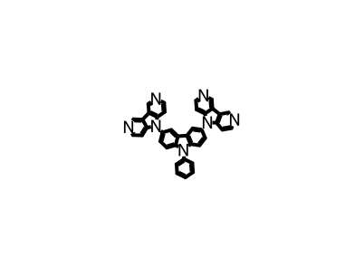 c1ccc(-n2c3ccc(-n4c5ccncc5c5cnccc54)cc3c3cc(-n4c5ccncc5c5cnccc54)ccc32)cc1